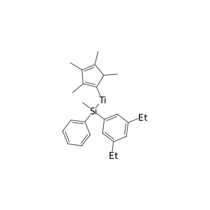 CCc1cc(CC)cc([Si](C)([Ti][C]2=C(C)C(C)=C(C)C2C)c2ccccc2)c1